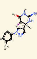 CN1C(=N)N[C@](C)(c2cnn(-c3cccc(C#N)c3)c2)C(I)C1=O